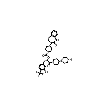 O=C(O[C@H](Cc1ccc(C(F)(F)F)c(Cl)c1)C(=O)N1CCC(N2CCNCC2)CC1)N1CCC(N2CCc3ccccc3NC2=O)CC1